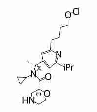 CC(C)c1cc([C@@H](C)N(C(=O)[C@H]2CNCCO2)C2CC2)cc(CCCCOCl)n1